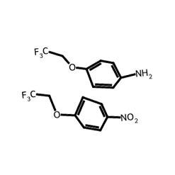 Nc1ccc(OCC(F)(F)F)cc1.O=[N+]([O-])c1ccc(OCC(F)(F)F)cc1